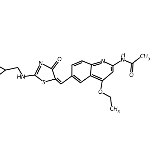 CCOc1cc(NC(C)=O)nc2ccc(C=C3SC(NCC4CC4)=NC3=O)cc12